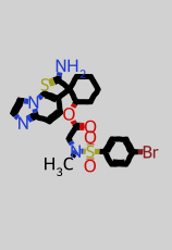 CN(CC(=O)OC1CCCCC1(C(N)=S)c1ccc2nccn2c1)S(=O)(=O)c1ccc(Br)cc1